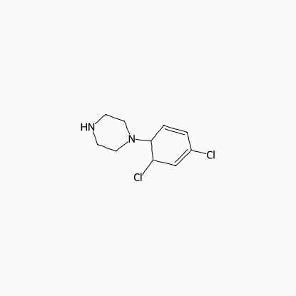 ClC1=CC(Cl)C(N2CCNCC2)C=C1